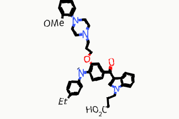 CCc1ccc(N(C)c2ccc(C(=O)c3cn(CCCC(=O)O)c4ccccc34)cc2OCCCN2CCN(c3ccccc3OC)CC2)cc1